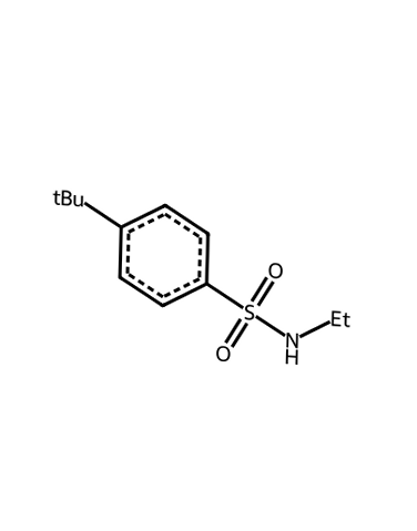 CCNS(=O)(=O)c1ccc(C(C)(C)C)cc1